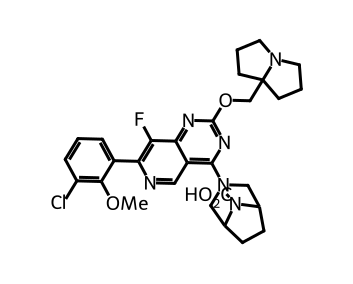 COc1c(Cl)cccc1-c1ncc2c(N3CC4CCC(C3)N4C(=O)O)nc(OCC34CCCN3CCC4)nc2c1F